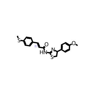 COc1ccc(C2CSC(NC(=O)/C=C/c3ccc(SC)cc3)=N2)cc1